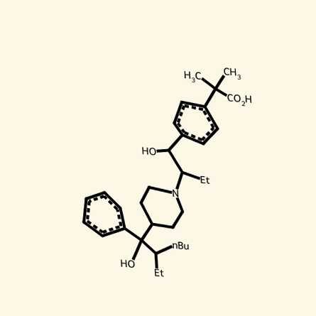 CCCCC(CC)C(O)(c1ccccc1)C1CCN(C(CC)C(O)c2ccc(C(C)(C)C(=O)O)cc2)CC1